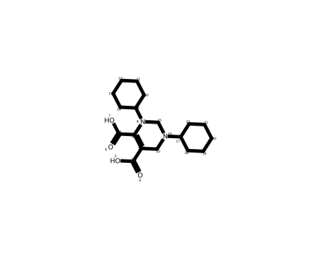 O=C(O)C1=C(C(=O)O)N(C2CCCCC2)CN(C2CCCCC2)C1